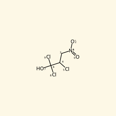 O=[N+]([O-])CC(Cl)C(O)(Cl)Cl